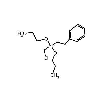 CCCO[Si](CCl)(CCc1ccccc1)OCCC